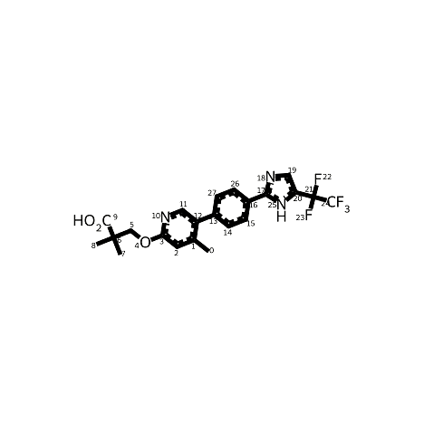 Cc1cc(OCC(C)(C)C(=O)O)ncc1-c1ccc(-c2ncc(C(F)(F)C(F)(F)F)[nH]2)cc1